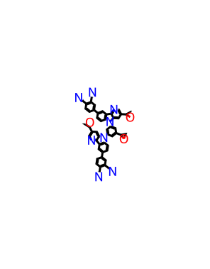 N#Cc1ccc(-c2ccc3c(c2)c2ncc(C4CO4)cc2n3-c2cc(C3CO3)cc(-n3c4ccc(-c5ccc(C#N)c(C#N)c5)cc4c4ncc(C5CO5)cc43)c2)cc1C#N